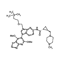 COc1nc2ncsc2c(OC)c1-c1cn(COCC[Si](C)(C)C)c2nc(NC(=O)[C@@H]3C[C@H]3CN3CCN(C)CC3)ccc12